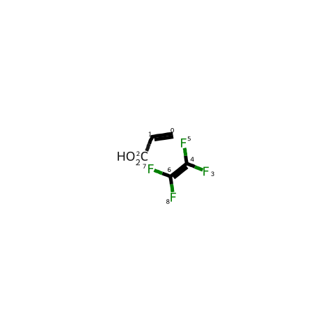 C=CC(=O)O.FC(F)=C(F)F